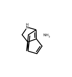 C1=CC2=C3C=C1C2CN3.N